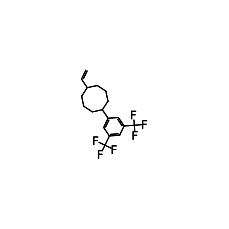 C=CC1CCCC(c2cc(C(F)(F)F)cc(C(F)(F)F)c2)CCC1